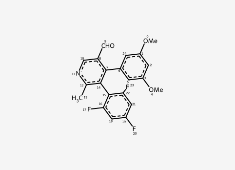 COc1cc(OC)cc(-c2c(C=O)cnc(C)c2-c2c(F)cc(F)cc2F)c1